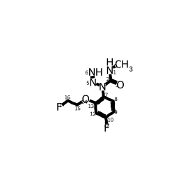 CNC(=O)N(N=N)c1ccc(F)cc1OCCF